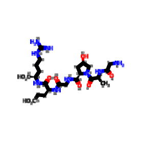 C[C@H](NC(=O)CN)C(=O)N1C[C@H](O)C[C@H]1C(=O)NCC(=O)N[C@@H](CCC(=O)O)C(=O)N[C@@H](CCCNC(=N)N)C(=O)O